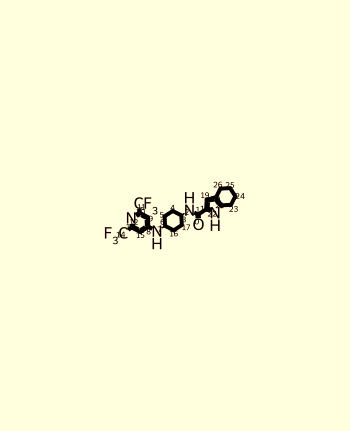 O=C(N[C@H]1CC[C@@H](Nc2cc(C(F)(F)F)nc(C(F)(F)F)c2)CC1)c1cc2c([nH]1)CCCC2